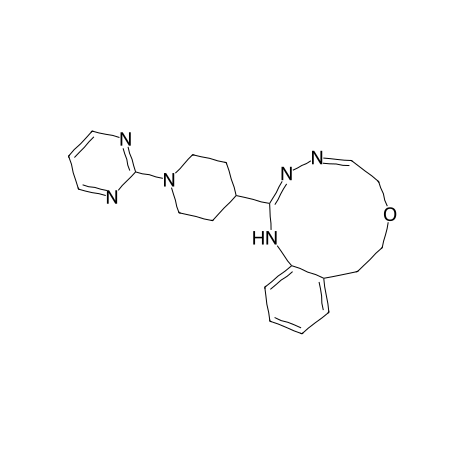 C1=NN=C(C2CCN(c3ncccn3)CC2)Nc2ccccc2CCOC1